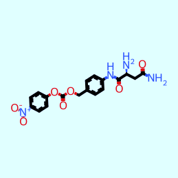 NC(=O)C[C@H](N)C(=O)Nc1ccc(COC(=O)Oc2ccc([N+](=O)[O-])cc2)cc1